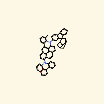 Cc1cccc(C)c1N(c1ccc2c(c1)C1(c3ccccc3-2)C2CC3CC(C2)CC1C3)c1ccc2ccc3c(N(c4ccccc4)c4ccccc4-c4ccccc4)ccc4ccc1c2c43